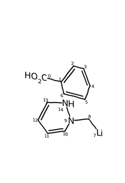 O=C(O)c1ccccc1.[Li][CH2]N1C=CC=CN1